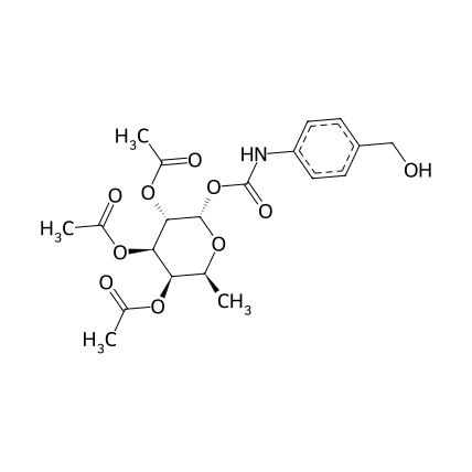 CC(=O)O[C@H]1[C@H](OC(C)=O)[C@H](OC(=O)Nc2ccc(CO)cc2)O[C@@H](C)[C@H]1OC(C)=O